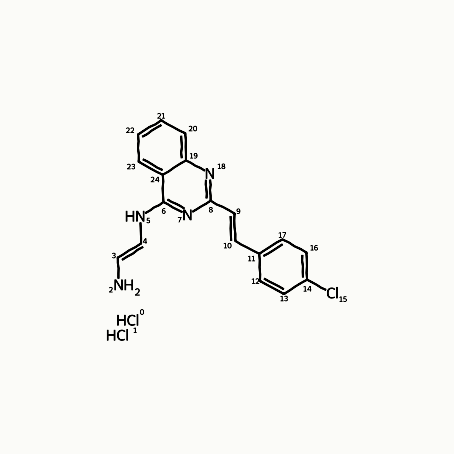 Cl.Cl.N/C=C/Nc1nc(/C=C/c2ccc(Cl)cc2)nc2ccccc12